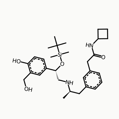 C[C@H](Cc1cccc(CC(=O)NC2CCC2)c1)NC[C@@H](O[Si](C)(C)C(C)(C)C)c1ccc(O)c(CO)c1